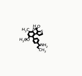 CCC(N)c1ccc(-c2c(OC)cc(C)c3[nH]c(=O)c4sccc4c23)cc1